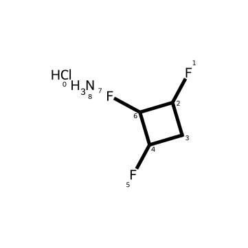 Cl.FC1CC(F)C1F.N